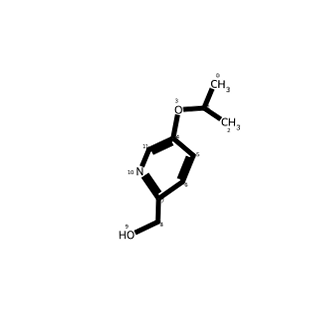 CC(C)Oc1ccc(CO)nc1